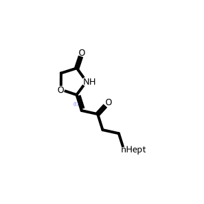 CCCCCCCCCC(=O)/C=C1\NC(=O)CO1